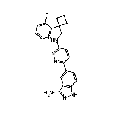 Nc1n[nH]c2ccc(-c3ccc(NCC4(c5ncccc5F)CCC4)nn3)cc12